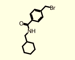 O=C(NCC1CCCCC1)c1ccc(CBr)cc1